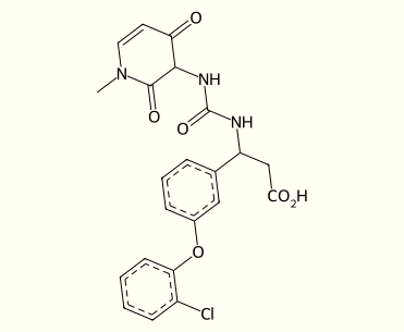 CN1C=CC(=O)C(NC(=O)NC(CC(=O)O)c2cccc(Oc3ccccc3Cl)c2)C1=O